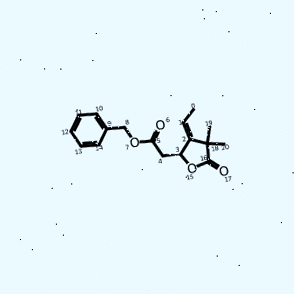 C/C=C1/[C@H](CC(=O)OCc2ccccc2)OC(=O)C1(C)C